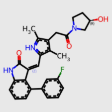 Cc1[nH]c(/C=C2\C(=O)Nc3cccc(-c4cccc(F)c4)c32)c(C)c1CC(=O)N1CC[C@@H](O)C1